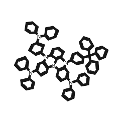 c1ccc(N(c2ccccc2)c2cccc(N3c4cc(N(c5ccccc5)c5ccccc5)ccc4B4c5ccc(N(c6ccccc6)c6ccccc6)cc5N(c5ccc(C(c6ccccc6)(c6ccccc6)c6ccccc6)cc5)c5cccc3c54)c2)cc1